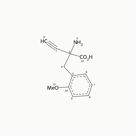 C#CC(N)(Cc1ccccc1OC)C(=O)O